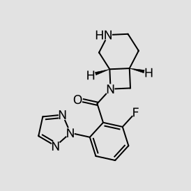 O=C(c1c(F)cccc1-n1nccn1)N1C[C@H]2CCNC[C@H]21